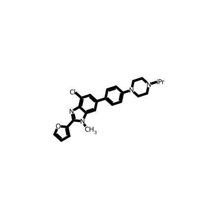 CC(C)N1CCN(c2ccc(-c3cc(Cl)c4nc(-c5ccco5)n(C)c4c3)cc2)CC1